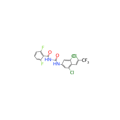 O=C(NC(=O)c1c(F)cccc1F)Nc1cc(Cl)c(C=C(Cl)C(F)(F)F)c(Cl)c1